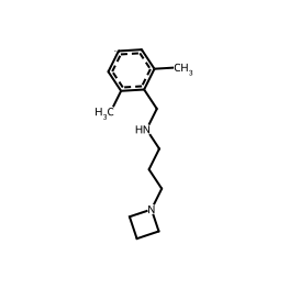 Cc1c[c]cc(C)c1CNCCCN1CCC1